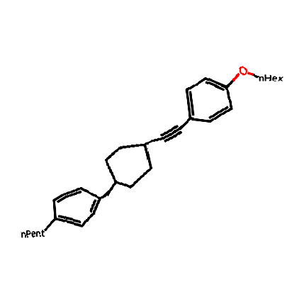 CCCCCCOc1ccc(C#CC2CCC(c3ccc(CCCCC)cc3)CC2)cc1